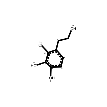 OCCc1ccc(O)c(O)c1Cl